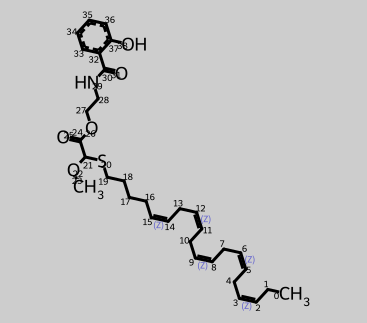 CC/C=C\C/C=C\C/C=C\C/C=C\C/C=C\CCCCSC(OC)C(=O)OCCNC(=O)c1ccccc1O